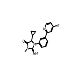 CN1C(=N)N(c2cccc(-c3cc(Br)ccn3)c2)C(C2CC2)C1=O